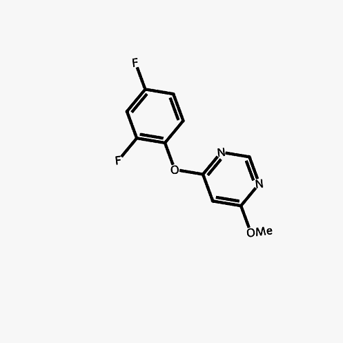 COc1cc(Oc2ccc(F)cc2F)ncn1